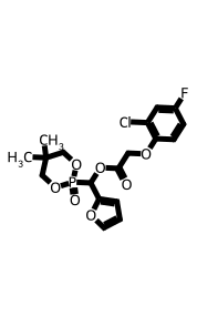 CC1(C)COP(=O)(C(OC(=O)COc2ccc(F)cc2Cl)c2ccco2)OC1